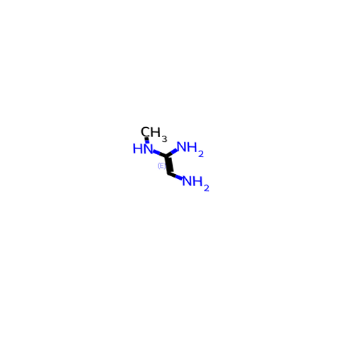 CN/C(N)=C/N